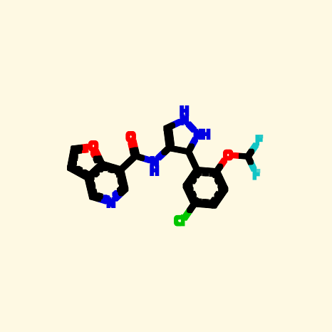 O=C(NC1=CNNC1c1cc(Cl)ccc1OC(F)F)c1cncc2ccoc12